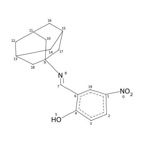 O=[N+]([O-])c1ccc(O)c(C=NC23CC4CC(CC(C4)C2)C3)c1